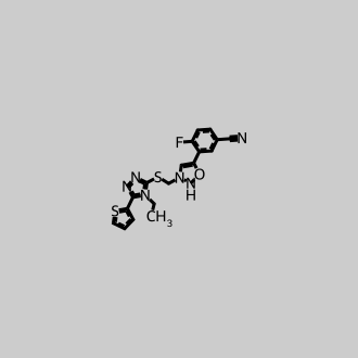 CCn1c(SCN2C=C(c3cc(C#N)ccc3F)ON2)nnc1-c1cccs1